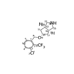 FC(F)(F)c1c(Cl)cccc1CO[C@@H]1C[C@H]2CNC[C@H]2C1